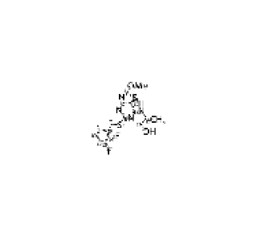 COc1nc2nc(SCc3cccc(F)c3F)nc(N[C@H](C)CO)c2s1